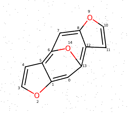 C1=c2occc2=C2C=c3occc3=C1O2